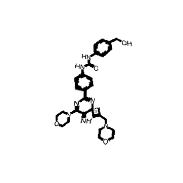 N=C1C(N2CCOCC2)=NC(c2ccc(NC(=O)Nc3ccc(CO)cc3)cc2)=N[C@@]12C=C(CN1CCOCC1)C2